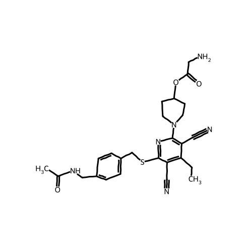 CCc1c(C#N)c(SCc2ccc(CNC(C)=O)cc2)nc(N2CCC(OC(=O)CN)CC2)c1C#N